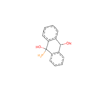 OC1c2ccccc2C(O)(P)c2ccccc21